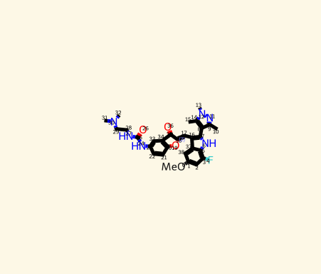 COc1cc(F)c2[nH]c(-c3c(C)nn(C)c3C)c(/C=C3\Oc4ccc(NC(=O)NCCN(C)C)cc4C3=O)c2c1